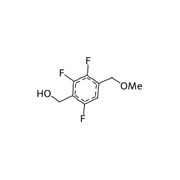 COCc1cc(F)c(CO)c(F)c1F